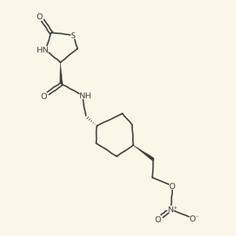 O=C1N[C@H](C(=O)NC[C@H]2CC[C@H](CCO[N+](=O)[O-])CC2)CS1